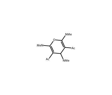 CNC1=C(C(C)=O)C(NC)C(C(C)=O)=C(NC)O1